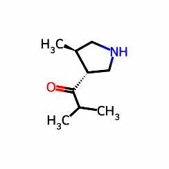 CC(C)C(=O)[C@H]1CNC[C@@H]1C